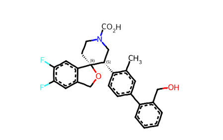 Cc1cc(-c2ccccc2CO)ccc1[C@H]1CN(C(=O)O)CC[C@@]12OCc1cc(F)c(F)cc12